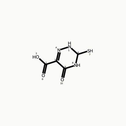 O=C(O)C1=NNC(S)NC1=O